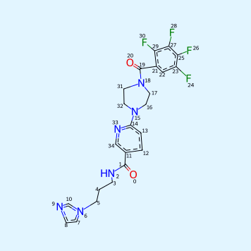 O=C(NCCCn1ccnc1)c1ccc(N2CCN(C(=O)c3cc(F)c(F)c(F)c3F)CC2)nc1